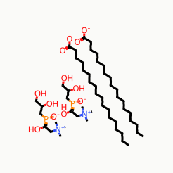 CCCCCCCCCCCCCCCCCC(=O)[O-].CCCCCCCCCCCCCCCCCC(=O)[O-].C[N+](C)(C)CC(O)=[P+]([O-])CC(O)CO.C[N+](C)(C)CC(O)=[P+]([O-])CC(O)CO